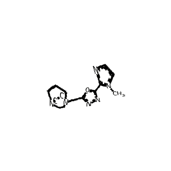 Cn1ccnc1-c1nnc(N2CCN3CCC2CC3)o1